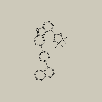 CC1(C)OB(c2cccc3oc4ccc(-c5ccc(-c6cccc7ccccc67)cc5)cc4c23)OC1(C)C